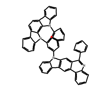 c1ccc(-c2nc3ccccc3c3cc4c5ccccc5n(-c5cccc(-n6c7ccccc7c7ccc8c9ccccc9n(-c9ccccc9)c8c76)c5)c4cc23)cc1